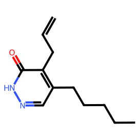 C=CCc1c(CCCCC)cn[nH]c1=O